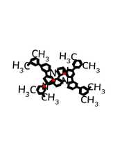 Cc1cc(C)cc(-c2ccc3c(c2)c2cc(-c4cc(C)cc(C)c4)ccc2n3-c2ccncc2-c2cc(C#N)ccc2-n2c3ccc(-c4cc(C)cc(C)c4)cc3c3cc(-c4cc(C)cc(C)c4)ccc32)c1